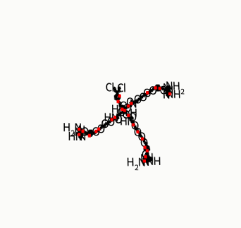 Nc1nc(OCc2ccc(COCCOCCOCCOCCNC(=O)CCOCC(COCCC(=O)NCCOCCOCCOCCOCc3ccc(COc4nc(N)nc5[nH]cnc45)cc3)(COCCC(=O)NCCOCCOCCOCCOCc3ccc(COc4nc(N)nc5[nH]cnc45)cc3)NC(=O)CCCc3ccc(C(CCCl)CCCl)cc3)cc2)c2nc[nH]c2n1